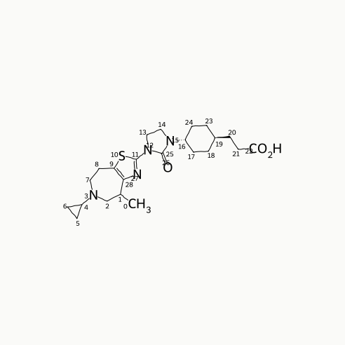 CC1CN(C2CC2)CCc2sc(N3CCN([C@H]4CC[C@H](CCC(=O)O)CC4)C3=O)nc21